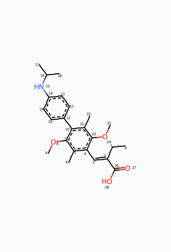 CC/C(=C\c1c(C)c(OC)c(-c2ccc(NC(C)C)cc2)c(C)c1OC)C(=O)O